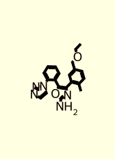 CCOCc1ccc(C)c(-c2nc(N)oc2-c2ccccc2-n2ccnn2)c1